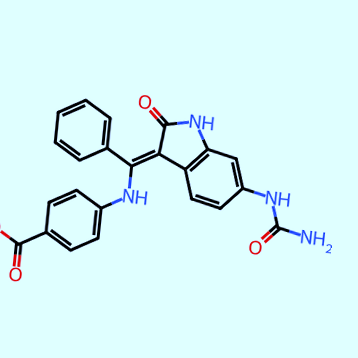 NC(=O)Nc1ccc2c(c1)NC(=O)C2=C(Nc1ccc(C(=O)O)cc1)c1ccccc1